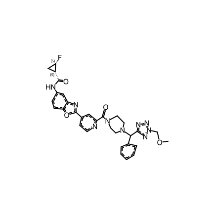 COCn1nnc(C(c2ccccc2)N2CCN(C(=O)c3cc(-c4nc5cc(NC(=O)[C@@H]6C[C@@H]6F)ccc5o4)ccn3)CC2)n1